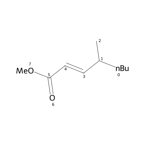 CCCCC(C)/C=C/C(=O)OC